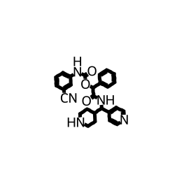 N#Cc1cccc(NC(=O)OC(C(=O)NC(c2ccncc2)C2CCNCC2)c2ccccc2)c1